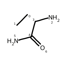 CC.NCC(N)=O